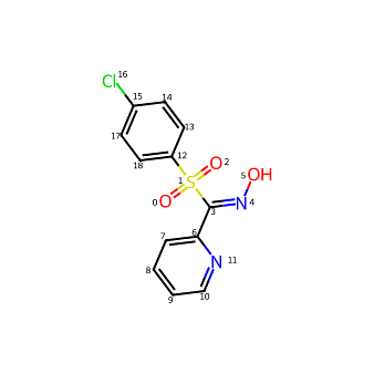 O=S(=O)(C(=NO)c1ccccn1)c1ccc(Cl)cc1